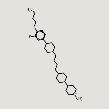 [CH2-][C+]1CCC(C2CCC(CCCCC3CCC(c4ccc(OCCCC)c(F)c4)CC3)CC2)CC1